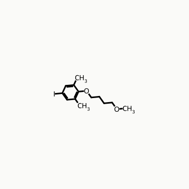 COCCCCOc1c(C)cc(I)cc1C